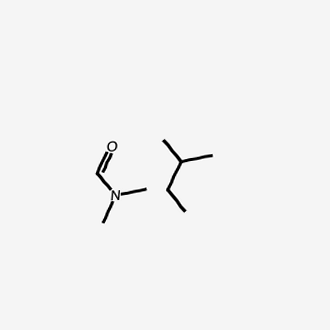 CCC(C)C.CN(C)C=O